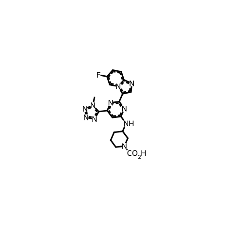 Cn1nnnc1-c1cc(NC2CCCN(C(=O)O)C2)nc(-c2cnc3ccc(F)cn23)n1